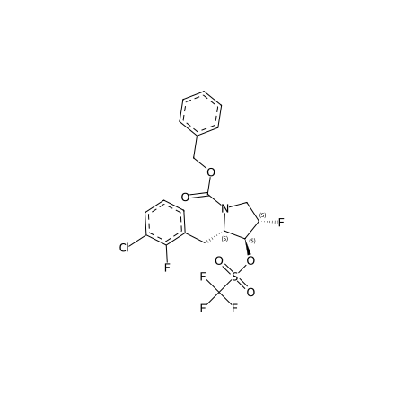 O=C(OCc1ccccc1)N1C[C@H](F)[C@@H](OS(=O)(=O)C(F)(F)F)[C@@H]1Cc1cccc(Cl)c1F